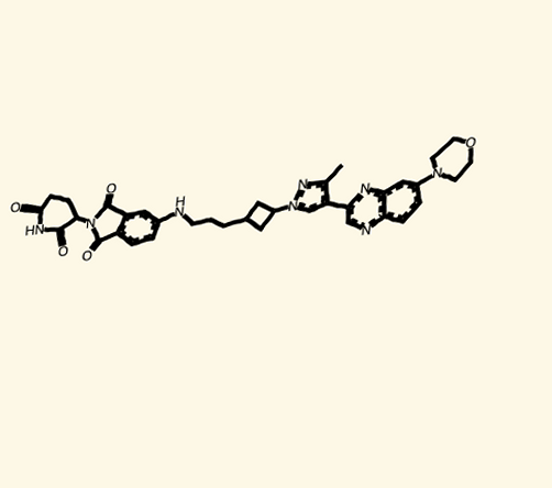 Cc1nn(C2CC(CCCNc3ccc4c(c3)C(=O)N(C3CCC(=O)NC3=O)C4=O)C2)cc1-c1cnc2ccc(N3CCOCC3)cc2n1